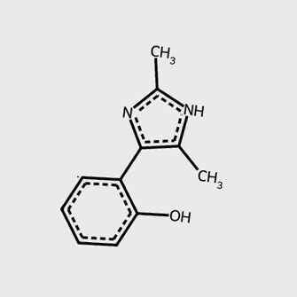 Cc1nc(-c2[c]cccc2O)c(C)[nH]1